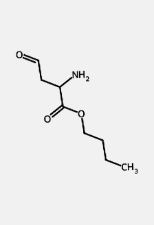 CCCCOC(=O)C(N)CC=O